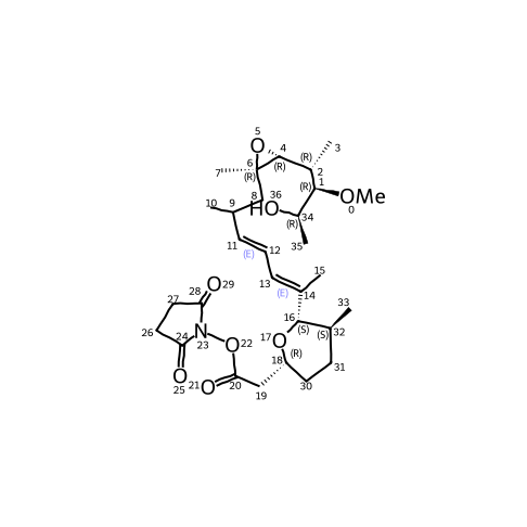 CO[C@H]([C@@H](C)[C@H]1O[C@]1(C)CC(C)/C=C/C=C(\C)[C@H]1O[C@@H](CC(=O)ON2C(=O)CCC2=O)CC[C@@H]1C)[C@@H](C)O